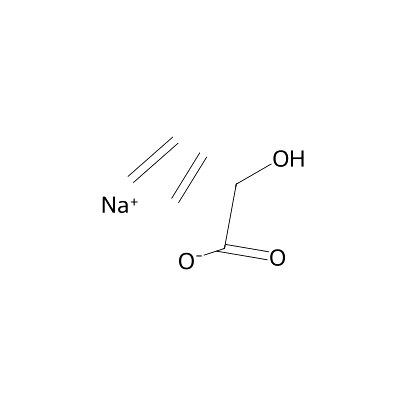 C=C.C=C.O=C([O-])CO.[Na+]